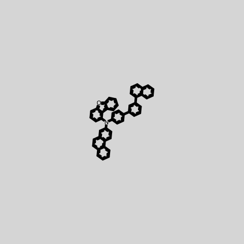 c1cc(-c2ccc(N(c3ccc4c(ccc5ccccc54)c3)c3cccc4oc5ccccc5c34)cc2)cc(-c2cccc3ccccc23)c1